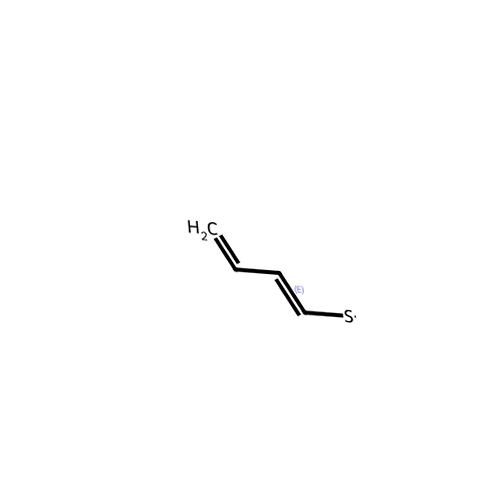 C=C/C=C/[S]